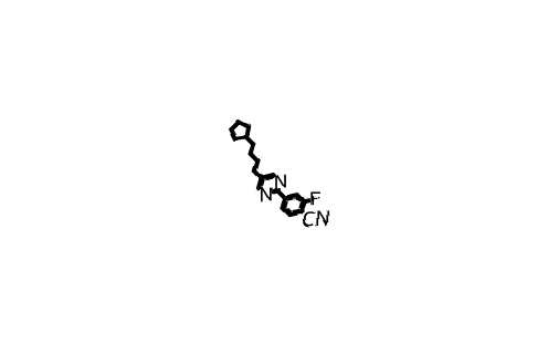 N#Cc1ccc(-c2ncc(CCCCC3CCCC3)cn2)cc1F